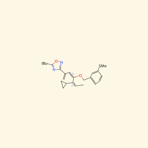 C=C(/C=C(OCc1cccc(SC)c1)\C(=C/C)C1CC1)c1noc(C(C)(C)C)n1